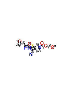 COCCOCC(=O)N1CCc2c(sc(NC(=O)C=Cc3ccco3)c2C#N)C1